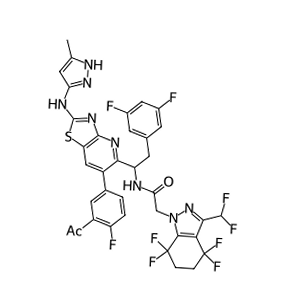 CC(=O)c1cc(-c2cc3sc(Nc4cc(C)[nH]n4)nc3nc2C(Cc2cc(F)cc(F)c2)NC(=O)Cn2nc(C(F)F)c3c2C(F)(F)CCC3(F)F)ccc1F